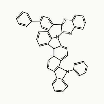 c1ccc(-c2ccc(-c3nc4ccccc4nc3-n3c4ccccc4c4c5ccc6c7ccccc7n(-c7ccccc7)c6c5ccc43)cc2)cc1